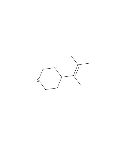 CC(C)=C(C)C1CCSCC1